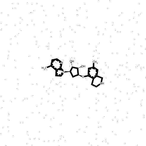 Cc1cc2c(c(O[C@H]3C[C@@H](n4ccc5c(C)ccnc54)[C@H](O)[C@@H]3O)c1)CCNC2